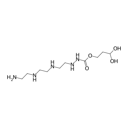 NCCNCCNCCNNC(=O)OCCC(O)O